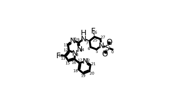 CS(=O)(=O)N1CC[C@@H](Nc2ncc3c(F)cc(-c4ccccn4)n3n2)[C@H](F)C1